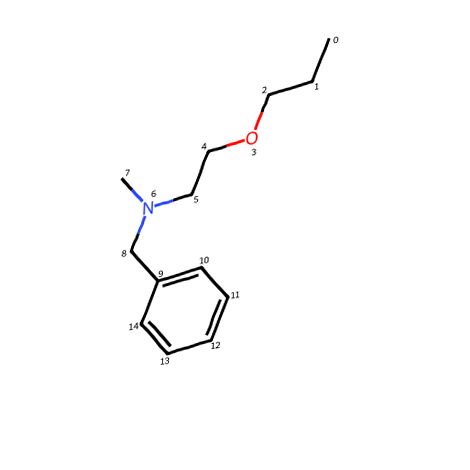 CCCOCCN(C)Cc1ccccc1